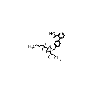 CCCCC(F)(F)c1nc(C(C)CC)n(Cc2ccc(-c3ccccc3C(=O)O)cc2)n1